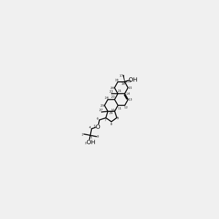 CC(C)(O)COCC1CCC2C3CC=C4C[C@@](C)(O)CCC4(C)C3CCC12C